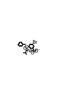 CC(C)C(=O)Nc1c(OCc2ccccc2)cc(Br)cc1[N+](=O)[O-]